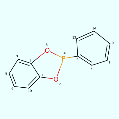 c1ccc(P2Oc3ccccc3O2)cc1